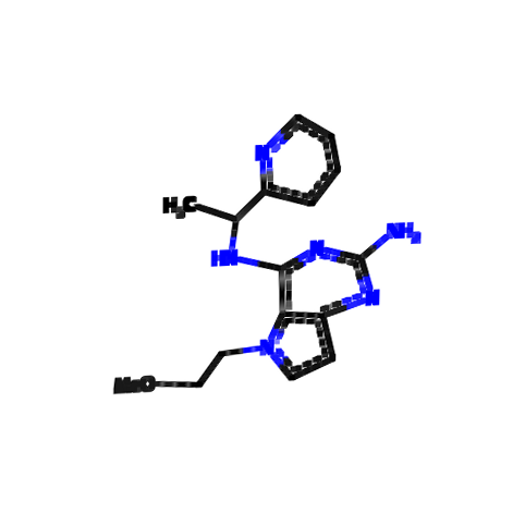 COCCn1ccc2nc(N)nc(NC(C)c3ccccn3)c21